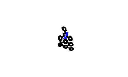 c1ccc(-c2cc(-c3cccc(-c4cccc(-c5ccc(-c6ccccc6)c(-c6ccccc6-c6ccccc6)c5)c4)c3)nc(-c3ccccc3)n2)cc1